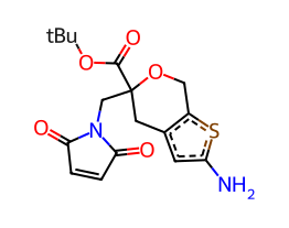 CC(C)(C)OC(=O)C1(CN2C(=O)C=CC2=O)Cc2cc(N)sc2CO1